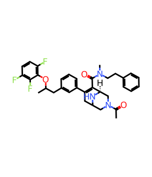 CC(=O)N1CC2CC(c3cccc(CC(C)Oc4c(F)ccc(F)c4F)c3)=C(C(=O)N(C)CCc3ccccc3)[C@@H](C1)N2